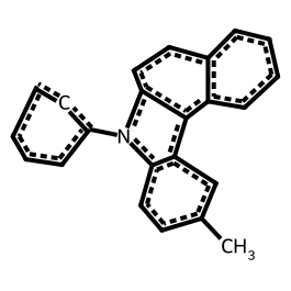 Cc1ccc2c(c1)c1c3ccccc3ccc1n2-c1ccccc1